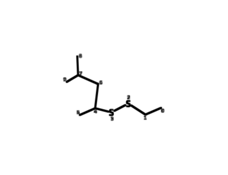 CCSSC(C)CC(C)C